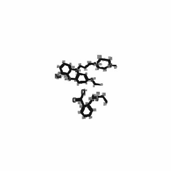 CCSc1ccc2c(c1)N(CCCN1CCN(C)CC1)c1ccccc1S2.C[CH2][Hg][S]c1ccccc1C(=O)[O-].[Na+]